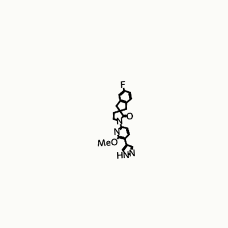 COc1nc(N2CCC3(Cc4ccc(F)cc4C3)C2=O)ccc1-c1cn[nH]c1